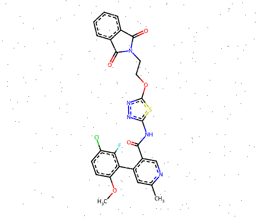 COc1ccc(Cl)c(F)c1-c1cc(C)ncc1C(=O)Nc1nnc(OCCN2C(=O)c3ccccc3C2=O)s1